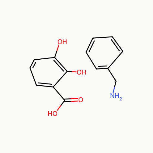 NCc1ccccc1.O=C(O)c1cccc(O)c1O